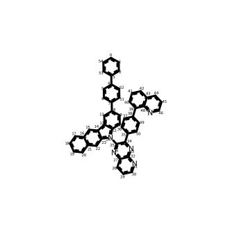 c1ccc(-c2ccc(-c3ccc4c(c3)c3cc5ccccc5cc3n4-c3nc4cccnc4nc3-c3ccc(-c4cccc5cccnc45)cc3)cc2)cc1